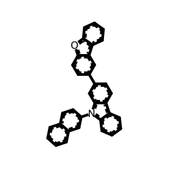 c1ccc2cc(-n3c4ccccc4c4ccc(-c5ccc6oc7ccccc7c6c5)cc43)ccc2c1